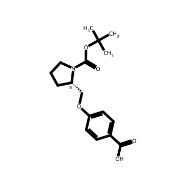 CC(C)(C)OC(=O)N1CCC[C@H]1COc1ccc(C(=O)O)cc1